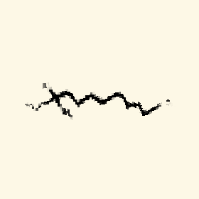 CCCCCCCCCCCCCCCCC(N)(O)C(=O)O